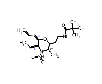 C=C/C=C1/OC(CCNC(=O)C(C)(C)O)[C@@H](C)N([SH](=O)=O)/C1=C/C